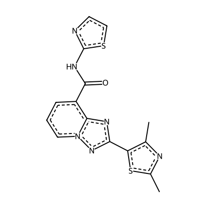 Cc1nc(C)c(-c2nc3c(C(=O)Nc4nccs4)cccn3n2)s1